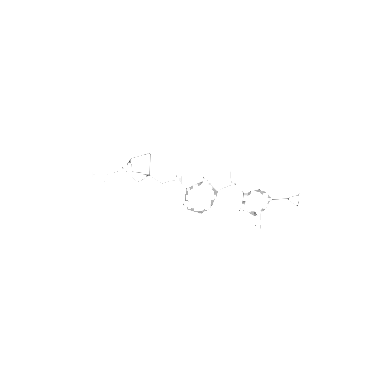 O=C(O)N1CC2(CNc3nccc(Nc4cc(C5CC5)[nH]n4)n3)CC1C2